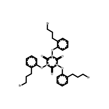 O=c1n(Oc2ccccc2CCCBr)c(=O)n(Oc2ccccc2CCCBr)c(=O)n1Oc1ccccc1CCCBr